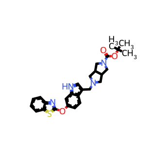 CC(C)(C)OC(=O)N1CC2CN(Cc3c[nH]c4cc(Oc5nc6ccccc6s5)ccc34)CC2C1